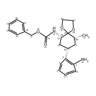 C[C@@H]1C[C@H](c2ccncc2N)C[C@H](NC(=O)OCc2ccccc2)C12OCCO2